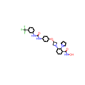 O=C(Nc1ccc(OC2CN(c3cccc(C(=O)NO)c3-n3cccc3)C2)cc1)Nc1cccc(C(F)(F)F)c1